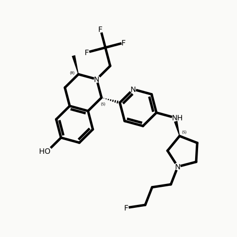 C[C@@H]1Cc2cc(O)ccc2[C@@H](c2ccc(N[C@H]3CCN(CCCF)C3)cn2)N1CC(F)(F)F